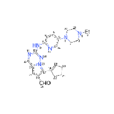 CCN1CCN(c2ccc(Nc3ncc4cc(C=O)c(C5=CCCC5)n4n3)nc2)CC1